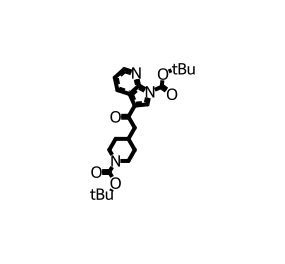 CC(C)(C)OC(=O)N1CCC(CC(=O)c2cn(C(=O)OC(C)(C)C)c3ncccc23)CC1